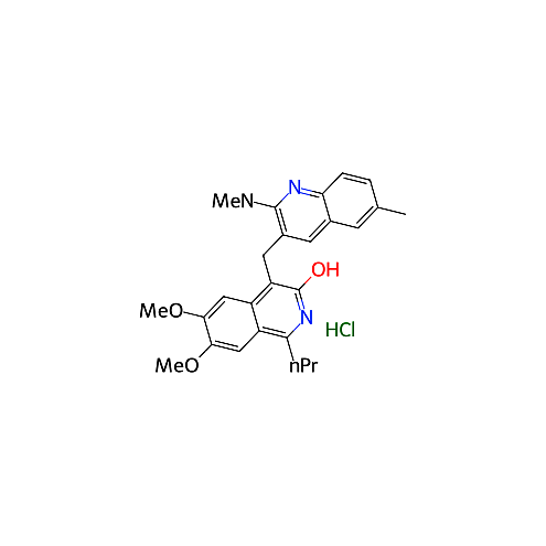 CCCc1nc(O)c(Cc2cc3cc(C)ccc3nc2NC)c2cc(OC)c(OC)cc12.Cl